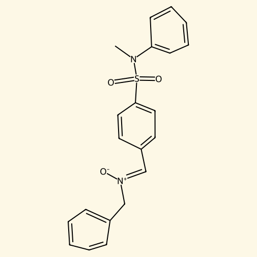 CN(c1ccccc1)S(=O)(=O)c1ccc(/C=[N+](\[O-])Cc2ccccc2)cc1